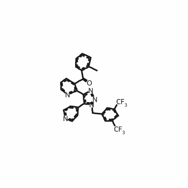 Cc1ccccc1C(=O)c1cccnc1-c1nnn(Cc2cc(C(F)(F)F)cc(C(F)(F)F)c2)c1-c1ccncc1